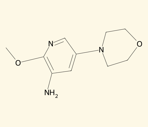 COc1ncc(N2CCOCC2)cc1N